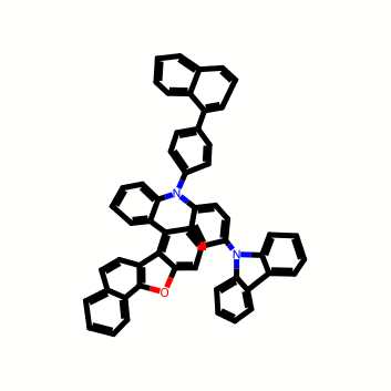 c1ccc(N(c2ccc(-c3cccc4ccccc34)cc2)c2ccc(-n3c4ccccc4c4ccccc43)cc2)c(-c2cccc3oc4c5ccccc5ccc4c23)c1